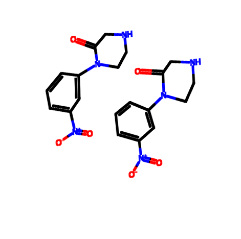 O=C1CNCCN1c1cccc([N+](=O)[O-])c1.O=C1CNCCN1c1cccc([N+](=O)[O-])c1